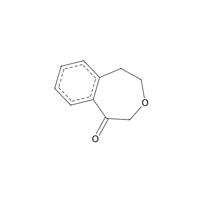 O=C1COCCc2ccccc21